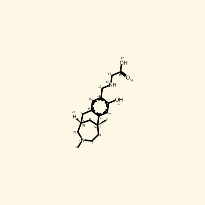 CN1CC[C@]2(C)C[C@@H](Cc3cc(CNCC(=O)O)c(O)cc32)C1